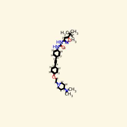 CN(C)C1CCN(CCOc2ccc(C#Cc3ccc(NC(=O)Nc4cc(C(C)(C)C)on4)cc3)cc2)CC1